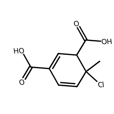 CC1(Cl)C=CC(C(=O)O)=CC1C(=O)O